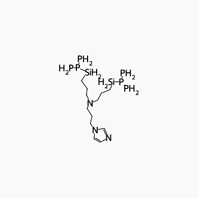 PP(P)[SiH2]CCCN(CCC[SiH2]P(P)P)CCCn1ccnc1